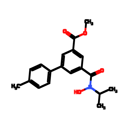 COC(=O)c1cc(C(=O)N(O)C(C)C)cc(-c2ccc(C)cc2)c1